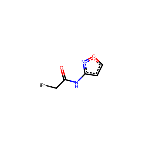 CC(C)CC(=O)Nc1ccon1